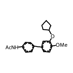 COc1ccc(-c2ccc(NC(C)=O)cc2)cc1OC1CCCC1